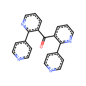 O=C(c1cccnc1-c1ccncc1)c1cccnc1-c1ccncc1